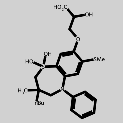 CCCCC1(C)CN(c2ccccc2)c2cc(SC)c(OCC(O)C(=O)O)cc2S(O)(O)C1